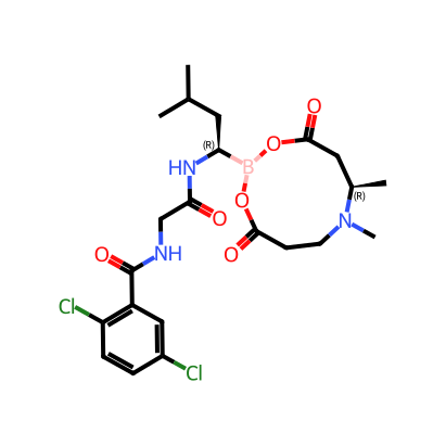 CC(C)C[C@H](NC(=O)CNC(=O)c1cc(Cl)ccc1Cl)B1OC(=O)CCN(C)[C@H](C)CC(=O)O1